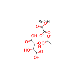 CC(=O)[O-].O=C(O)C(O)C(O)C(=O)O.O=C([O-])C(=O)[O-].[SnH+3]